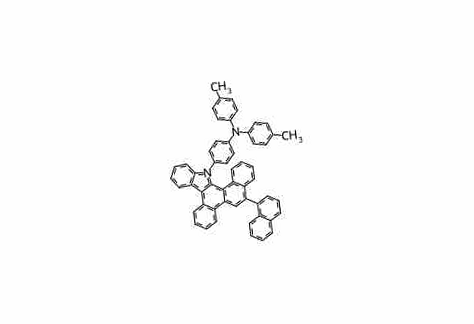 Cc1ccc(N(c2ccc(C)cc2)c2ccc(-n3c4ccccc4c4c5ccccc5c5cc(-c6cccc7ccccc67)c6ccccc6c5c43)cc2)cc1